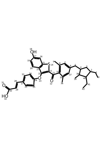 CCC1CC(Cc2cc(C)c(C(=O)c3sc4cc(O)ccc4c3Oc3ccc(/C=C/C(=O)O)cc3)c(C)c2)C(C)C1CC